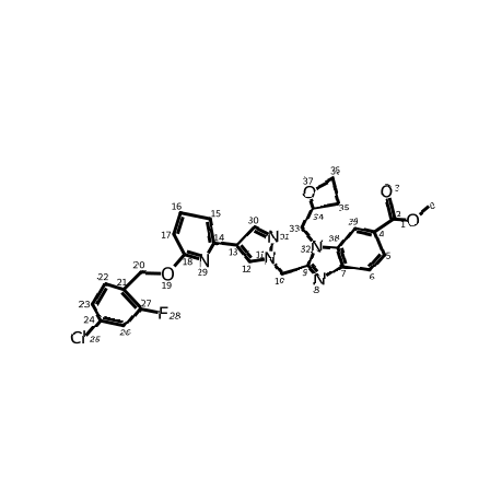 COC(=O)c1ccc2nc(Cn3cc(-c4cccc(OCc5ccc(Cl)cc5F)n4)cn3)n(CC3CCO3)c2c1